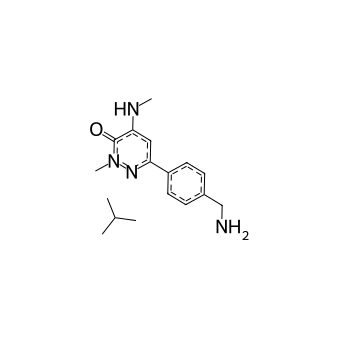 CC(C)C.CNc1cc(-c2ccc(CN)cc2)nn(C)c1=O